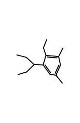 CCc1c(C)cc(C)cc1C(CC)CC